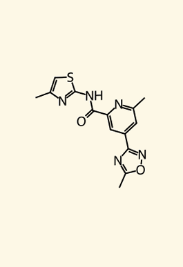 Cc1cc(-c2noc(C)n2)cc(C(=O)Nc2nc(C)cs2)n1